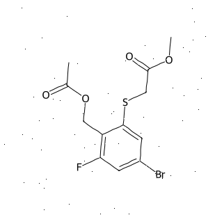 COC(=O)CSc1cc(Br)cc(F)c1COC(C)=O